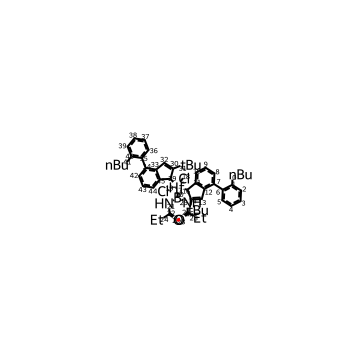 CCCCc1ccccc1-c1cccc2c1C=C(C(C)(C)C)[CH]2[Hf]([Cl])([Cl])([B](NC(=O)CC)NC(=O)CC)[CH]1C(C(C)(C)C)=Cc2c(-c3ccccc3CCCC)cccc21